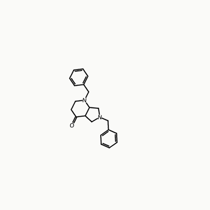 O=C1CCN(Cc2ccccc2)C2CN(Cc3ccccc3)CC12